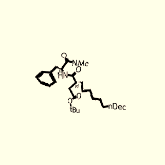 CCCCCCCCCCCCCCCC[C@H](CC(=O)OC(C)(C)C)C(=O)N[C@@H](Cc1ccccc1)C(=O)NC